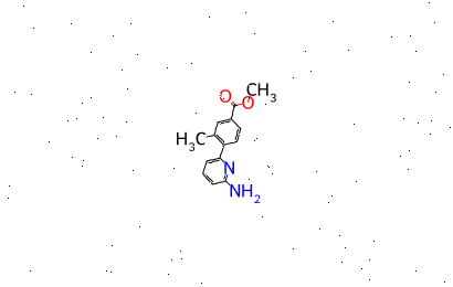 COC(=O)c1ccc(-c2cccc(N)n2)c(C)c1